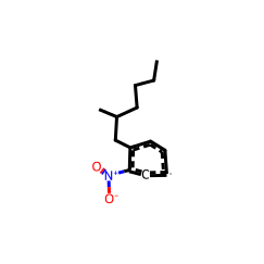 CCCCC(C)Cc1cc[c]cc1[N+](=O)[O-]